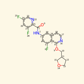 O=C(Nc1cc(F)c2c(OCC3CCOC3)nccc2c1)c1ncc(F)cc1F